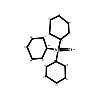 O=[As](C1CCCCC1)(C1CCCCC1)C1CCCCC1